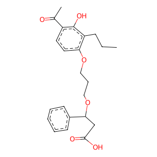 CCCc1c(OCCCOC(CC(=O)O)c2ccccc2)ccc(C(C)=O)c1O